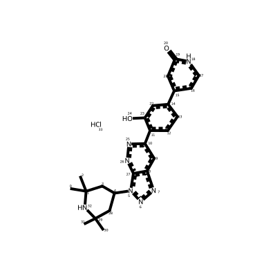 CC1(C)CC(n2nnc3cc(-c4ccc(-c5cc[nH]c(=O)c5)cc4O)nnc32)CC(C)(C)N1.Cl